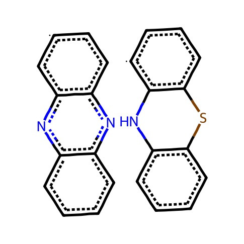 [c]1ccc2nc3ccccc3nc2c1.[c]1cccc2c1Nc1ccccc1S2